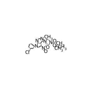 C[C@H]1CN(C(=O)OC(C)(C)C)CCN1c1ncnc2c1c(N(C=O)C=O)cn2-c1cccc(Cl)c1